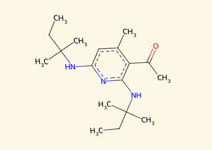 CCC(C)(C)Nc1cc(C)c(C(C)=O)c(NC(C)(C)CC)n1